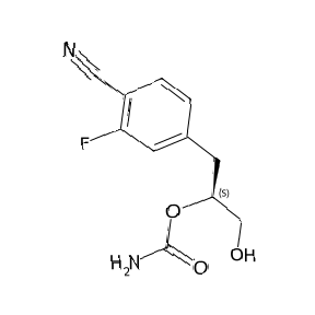 N#Cc1ccc(C[C@@H](CO)OC(N)=O)cc1F